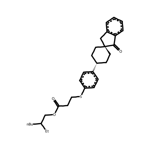 CCCCC(CC)COC(=O)CCSc1ccc([C@H]2CC[C@@]3(CC2)Cc2ccccc2C3=O)cc1